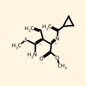 C=CC(/C(=N\C(=C)C1CC1)C(=O)OC)=C(/N)SC